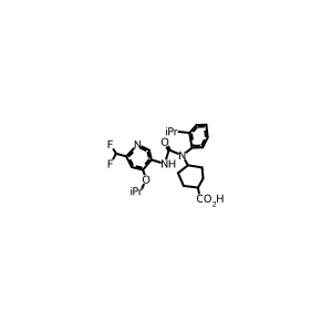 CC(C)Oc1cc(C(F)F)ncc1NC(=O)N(c1ccccc1C(C)C)C1CCC(C(=O)O)CC1